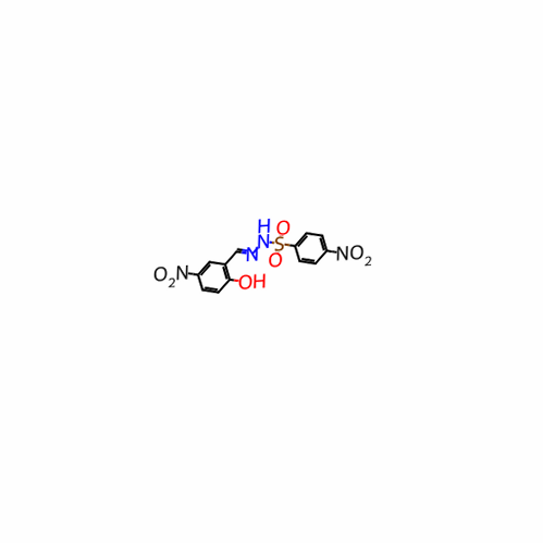 O=[N+]([O-])c1ccc(S(=O)(=O)N/N=C/c2cc([N+](=O)[O-])ccc2O)cc1